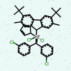 Cc1cc2c(cc1C(C)(C)C)-c1cc(C(C)(C)C)c(C)cc1[CH]2[Hf]([Cl])([Cl])(=[C](c1cccc(Cl)c1)c1cccc(Cl)c1)[CH]1C=CC=C1